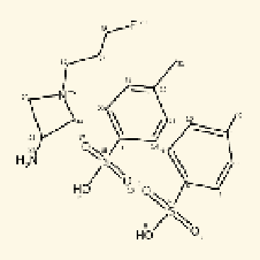 Cc1ccc(S(=O)(=O)O)cc1.Cc1ccc(S(=O)(=O)O)cc1.NC1CN(CCCF)C1